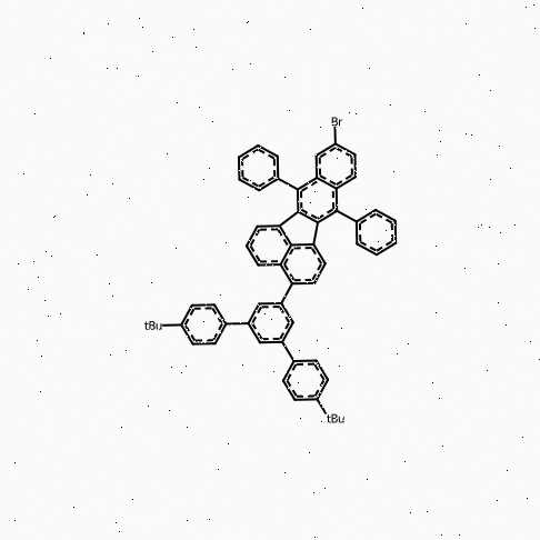 CC(C)(C)c1ccc(-c2cc(-c3ccc(C(C)(C)C)cc3)cc(-c3ccc4c5c(cccc35)-c3c-4c(-c4ccccc4)c4ccc(Br)cc4c3-c3ccccc3)c2)cc1